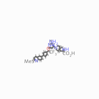 CSc1ccc2cc(-c3ccc(C(Oc4cc(N5CCC6(CC5)CN[C@H](C(=O)O)C6)nc(N)n4)C(F)(F)F)cc3)ccc2n1